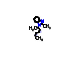 C=C(/C=C\C=C/C)n1c(C)nc2ccccc21